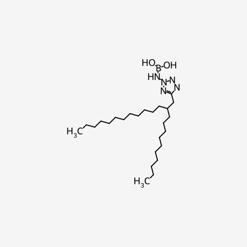 CCCCCCCCCCCCC(CCCCCCCCCC)Cc1nnn(NB(O)O)n1